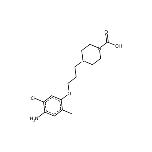 Cc1cc(N)c(Cl)cc1OCCCN1CCN(C(=O)O)CC1